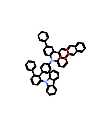 C1=CC(c2ccc(N(c3ccc(-c4c(-c5ccccc5)cccc4-n4c5ccccc5c5ccccc54)cc3)c3cccc(-c4ccc5ccccc5c4)c3)c(-c3ccccc3)c2)=CCC1